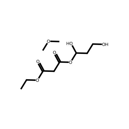 CCOC(=O)CC(=O)OC(O)CCO.COC